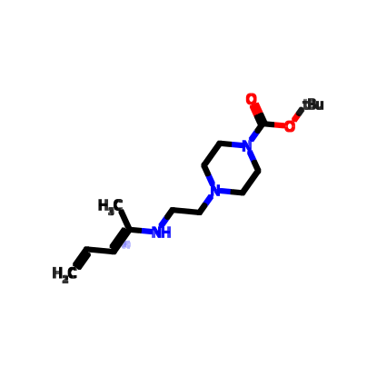 C=C/C=C(\C)NCCN1CCN(C(=O)OC(C)(C)C)CC1